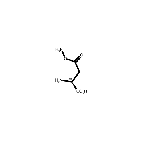 N[C@@H](CC(=O)OP)C(=O)O